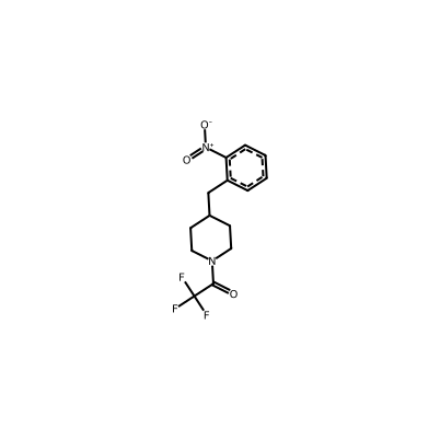 O=C(N1CCC(Cc2ccccc2[N+](=O)[O-])CC1)C(F)(F)F